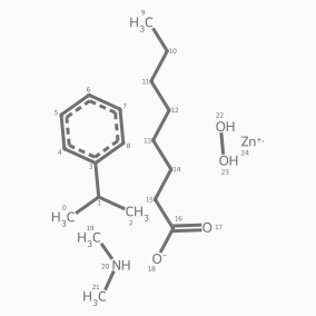 CC(C)c1ccccc1.CCCCCCCC(=O)[O-].CNC.OO.[Zn+]